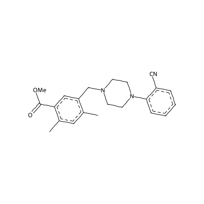 COC(=O)c1cc(CN2CCN(c3ccccc3C#N)CC2)c(C)cc1C